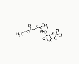 CCOC(=O)CSC(C)=NOC(=O)N(C)SC(Cl)(Cl)Cl